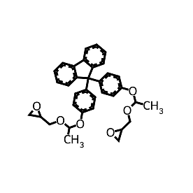 CC(OCC1CO1)Oc1ccc(C2(c3ccc(OC(C)OCC4CO4)cc3)c3ccccc3-c3ccccc32)cc1